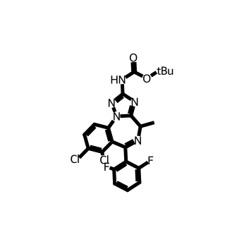 CC1N=C(c2c(F)cccc2F)c2c(ccc(Cl)c2Cl)-n2nc(NC(=O)OC(C)(C)C)nc21